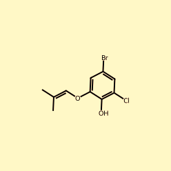 CC(C)=COc1cc(Br)cc(Cl)c1O